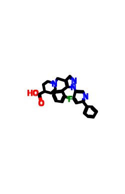 O=C(O)C1CCN(Cc2cnn(-c3ccc(-c4ccccc4)nc3)c2-c2ccccc2F)CC1